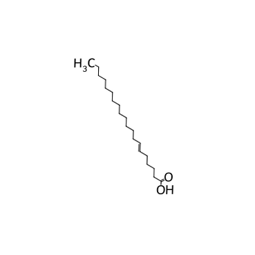 CCCCCCCCCCCCC/C=C/CCCCC(=O)O